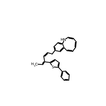 C/C=C(\C=C/Cc1ccc2[nH]ccccccc2c1)c1ccc(-c2ccccc2)s1